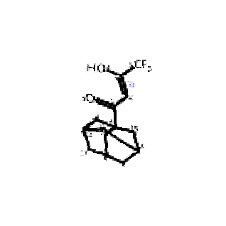 O=C(/C=C(\O)C(F)(F)F)C12CC3CC(CC(C3)C1)C2